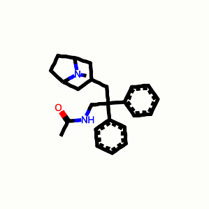 CC(=O)NCC(CC1CC2CCC(C1)N2C)(c1ccccc1)c1ccccc1